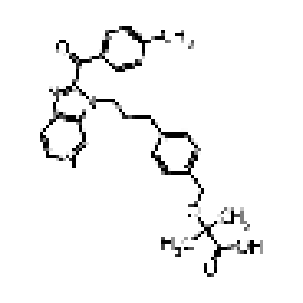 Cc1ccc(C(=O)c2nc3ccncc3n2CCCc2ccc(COC(C)(C)C(=O)O)cc2)cc1